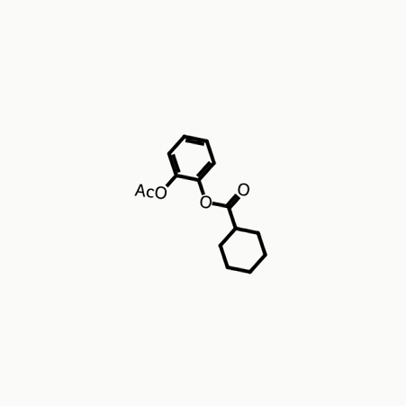 CC(=O)Oc1ccccc1OC(=O)C1CCCCC1